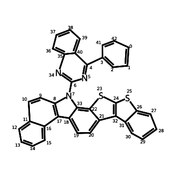 c1ccc(-c2nc(-n3c4ccc5ccccc5c4c4ccc5c(sc6sc7ccccc7c65)c43)nc3ccccc23)cc1